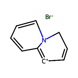 [Br-].[C+]1=C2C=CC=CN2CC=C1